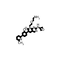 Cc1cccc(-c2ccc(-c3cc4cnc(NC5COC5)nc4n(CCOCCN)c3=O)c(Cl)c2)n1